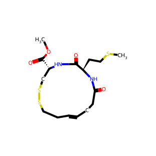 COC(=O)[C@H]1CSSCC/C=C/CCC(=O)N[C@H](CCSC)C(=O)N1